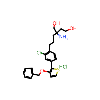 Cl.NC(CO)(CCO)CCCc1ccc(-c2sccc2OCc2ccccc2)cc1Cl